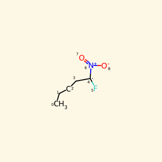 CCCC[C](F)[N+](=O)[O-]